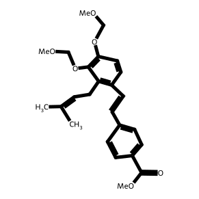 COCOc1ccc(C=Cc2ccc(C(=O)OC)cc2)c(CC=C(C)C)c1OCOC